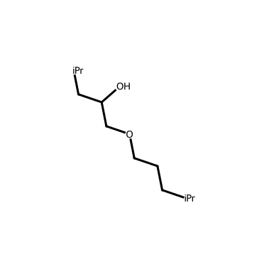 CC(C)CCCOCC(O)CC(C)C